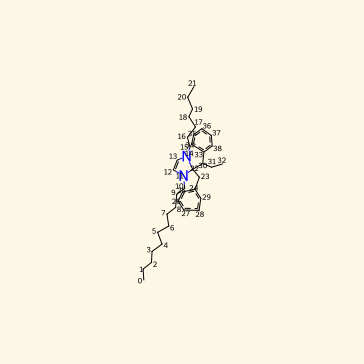 CCCCCCCCCCCN1C=CN(CCCCCCC)C1(Cc1ccccc1)C(CC)c1ccccc1